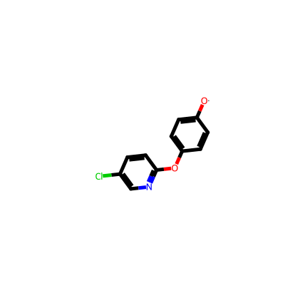 [O]c1ccc(Oc2ccc(Cl)cn2)cc1